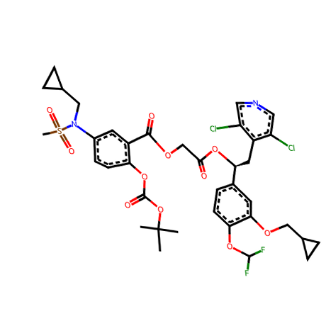 CC(C)(C)OC(=O)Oc1ccc(N(CC2CC2)S(C)(=O)=O)cc1C(=O)OCC(=O)O[C@@H](Cc1c(Cl)cncc1Cl)c1ccc(OC(F)F)c(OCC2CC2)c1